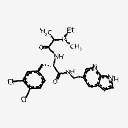 CCN(C)C(C)C(=O)N[C@@H](Cc1ccc(Cl)c(Cl)c1)C(=O)NCc1cnc2[nH]ccc2c1